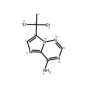 CCC(C)(CC)c1cnc2c(N)ncnn12